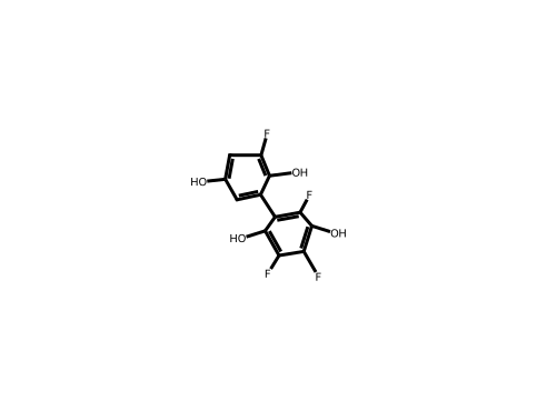 Oc1cc(F)c(O)c(-c2c(O)c(F)c(F)c(O)c2F)c1